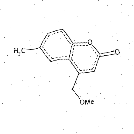 COCc1cc(=O)oc2ccc(C)cc12